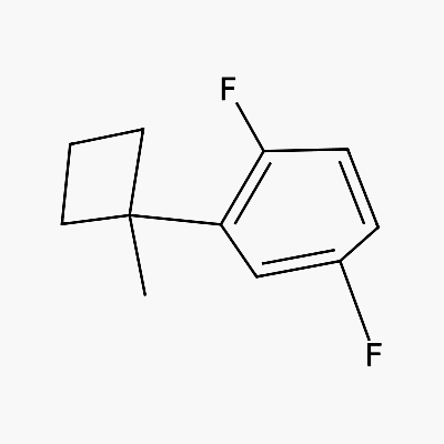 CC1(c2cc(F)ccc2F)CCC1